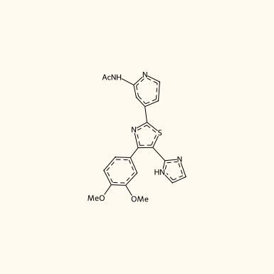 COc1ccc(-c2nc(-c3ccnc(NC(C)=O)c3)sc2-c2ncc[nH]2)cc1OC